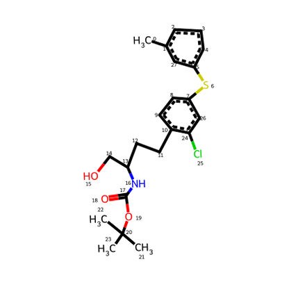 Cc1cccc(Sc2ccc(CCC(CO)NC(=O)OC(C)(C)C)c(Cl)c2)c1